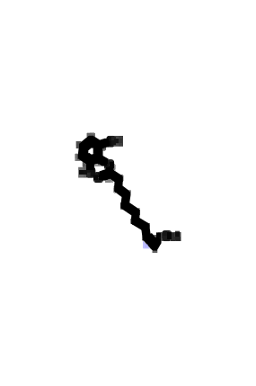 CCCCCCCC/C=C\CCCCCCCC(=O)Oc1c(O)cccc1O